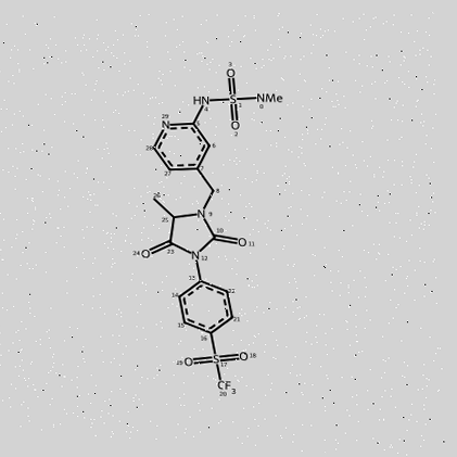 CNS(=O)(=O)Nc1cc(CN2C(=O)N(c3ccc(S(=O)(=O)C(F)(F)F)cc3)C(=O)C2C)ccn1